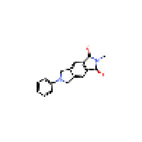 CN1C(=O)c2cc3c(cc2C1=O)CN(c1ccccc1)C3